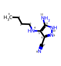 CCCCNc1c(C#N)n[nH]c1N